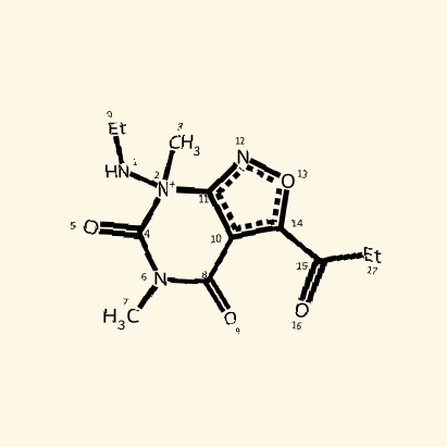 CCN[N+]1(C)C(=O)N(C)C(=O)c2c1noc2C(=O)CC